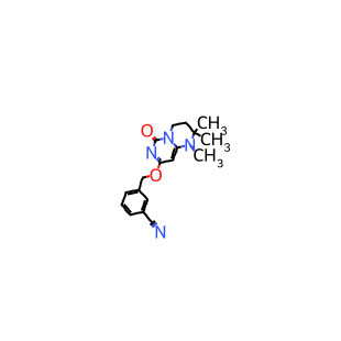 CN1c2cc(OCc3cccc(C#N)c3)nc(=O)n2CCC1(C)C